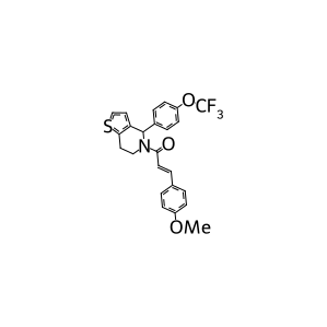 COc1ccc(C=CC(=O)N2CCc3sccc3C2c2ccc(OC(F)(F)F)cc2)cc1